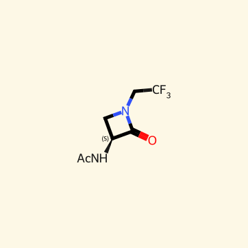 CC(=O)N[C@H]1CN(CC(F)(F)F)C1=O